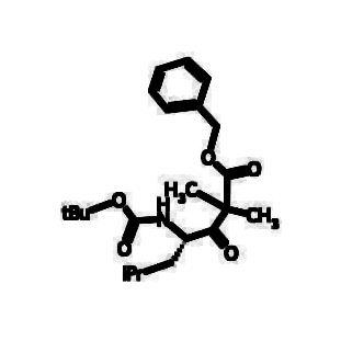 CC(C)C[C@H](NC(=O)OC(C)(C)C)C(=O)C(C)(C)C(=O)OCc1ccccc1